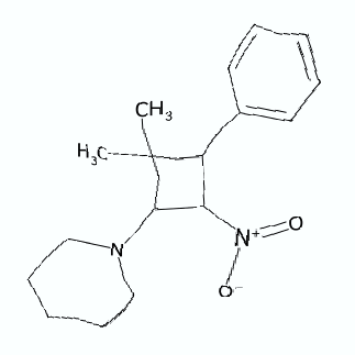 CC1(C)C(c2ccccc2)C([N+](=O)[O-])C1N1CCCCC1